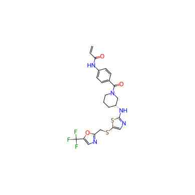 C=CC(=O)Nc1ccc(C(=O)N2CCC[C@@H](Nc3ncc(SCc4ncc(C(F)(F)F)o4)s3)C2)cc1